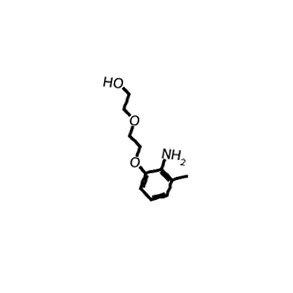 Cc1cccc(OCCOCCO)c1N